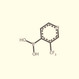 OB(O)c1ccncc1C(F)(F)F